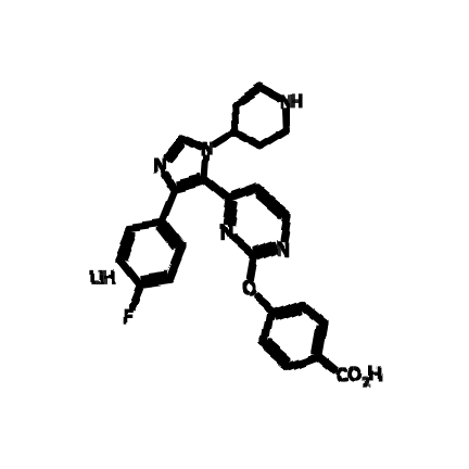 O=C(O)c1ccc(Oc2nccc(-c3c(-c4ccc(F)cc4)ncn3C3CCNCC3)n2)cc1.[LiH]